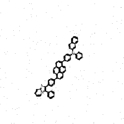 c1ccc(-c2c(-c3ccc(-c4ccc5ccc6c(-c7ccc(N(c8ccccc8)c8ccc9ccccc9c8)cc7)ccc7ccc4c5c76)cc3)nc3ccccn23)cc1